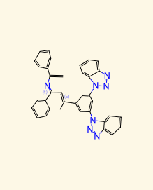 C=C(/N=C(\C=C(/C)c1cc(-n2nnc3ccccc32)cc(-n2nnc3ccccc32)c1)c1ccccc1)c1ccccc1